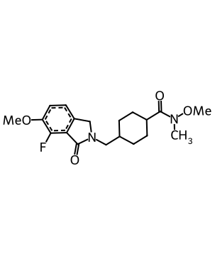 COc1ccc2c(c1F)C(=O)N(CC1CCC(C(=O)N(C)OC)CC1)C2